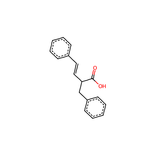 O=C(O)C(C=Cc1ccccc1)Cc1ccccc1